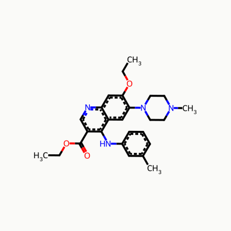 CCOC(=O)c1cnc2cc(OCC)c(N3CCN(C)CC3)cc2c1Nc1cccc(C)c1